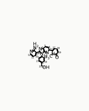 Cn1c(-c2ccc3nc(-c4cccnc4N)n(-c4ccc(CO)cc4)c3n2)cccc1=O